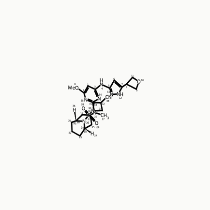 COc1cc(Nc2cc(C3COC3)[nH]n2)nc(N(C)[C@@H]2C[C@H]3CCC[C@@H](C2)N3S(=O)(=O)N2CC(C#N)C2)n1